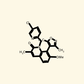 COc1ccc2cc(C)c(=O)n(Cc3ccc(Cl)cn3)c2c1-c1c(C)noc1C